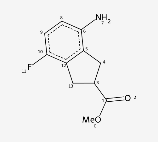 COC(=O)C1Cc2c(N)ccc(F)c2C1